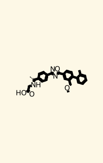 COCc1cc(-c2nc(-c3ccc([C@@H](C)NCC(=O)O)cc3)no2)ccc1-c1ccccc1C